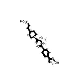 C[C@H](NC(=O)c1ccc(/C(N)=N/O)cc1)C(=O)N1CCC(CCC(=O)O)CC1